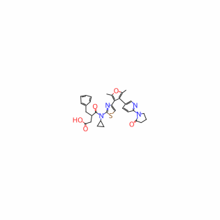 Cc1oc(C)c(-c2csc(N(C(=O)C(CC(=O)O)Cc3ccccc3)C3CC3)n2)c1-c1ccc(N2CCCC2=O)nc1